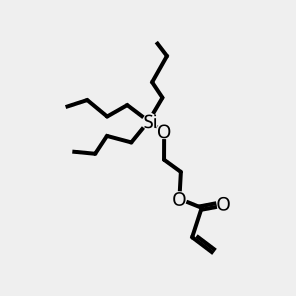 C=CC(=O)OCCO[Si](CCCC)(CCCC)CCCC